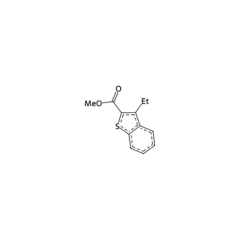 CCc1c(C(=O)OC)sc2ccccc12